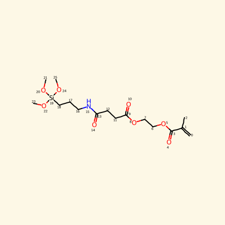 C=C(C)C(=O)OCCOC(=O)CCC(=O)NCCC[Si](OC)(OC)OC